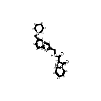 O=C(NCc1cn2cc(CN3CCCCC3)ccc2n1)C1N=C2C=CC=CN2C1=O